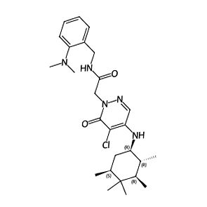 C[C@@H]1[C@@H](C)C(C)(C)[C@@H](C)C[C@H]1Nc1cnn(CC(=O)NCc2ccccc2N(C)C)c(=O)c1Cl